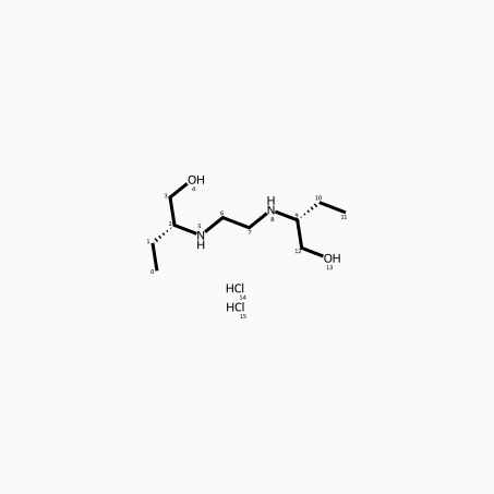 CC[C@H](CO)NCCN[C@H](CC)CO.Cl.Cl